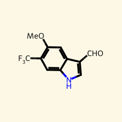 COc1cc2c(C=O)c[nH]c2cc1C(F)(F)F